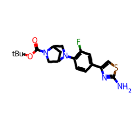 CC(C)(C)OC(=O)N1CC2CC1CN2c1ccc(-c2csc(N)n2)cc1F